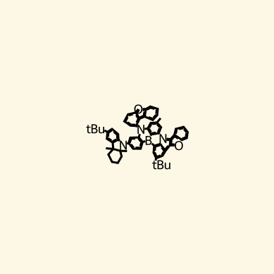 Cc1cc2c3c(c1)-n1c4c(cc(C(C)(C)C)cc4c4oc5ccccc5c41)B3c1ccc(N3c4ccc(C(C)(C)C)cc4C4(C)CCCCC34C)cc1N2c1cccc2oc3ccccc3c12